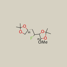 CO[C@@H]1OC(C)(C)OC1C(F)C[C@@H]1COC(C)(C)O1